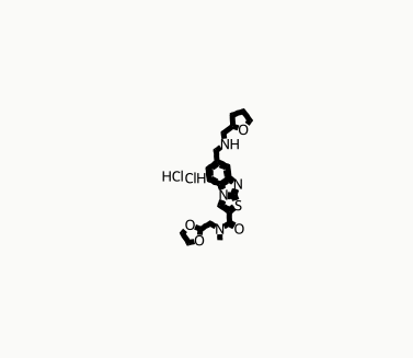 CN(CC1OCCO1)C(=O)c1cn2c(nc3cc(CNCC4CCCO4)ccc32)s1.Cl.Cl